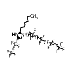 CCCCCCc1[nH]cc[n+]1C.F[B-](F)(F)F.F[B-](F)(F)F.F[B-](F)(F)F.F[B-](F)(F)F.F[B-](F)(F)F.F[B-](F)(F)F